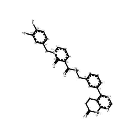 O=C1CCc2c(ncnc2-c2cccc(CNC(=O)c3cccn(Cc4ccc(F)c(F)c4)c3=O)c2)N1